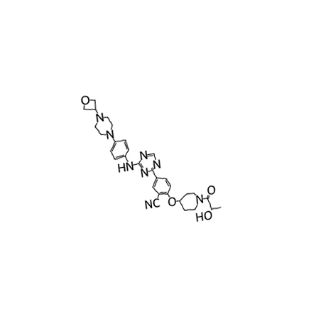 CC(O)C(=O)N1CCC(Oc2ccc(-c3ncnc(Nc4ccc(N5CCN(C6COC6)CC5)cc4)n3)cc2C#N)CC1